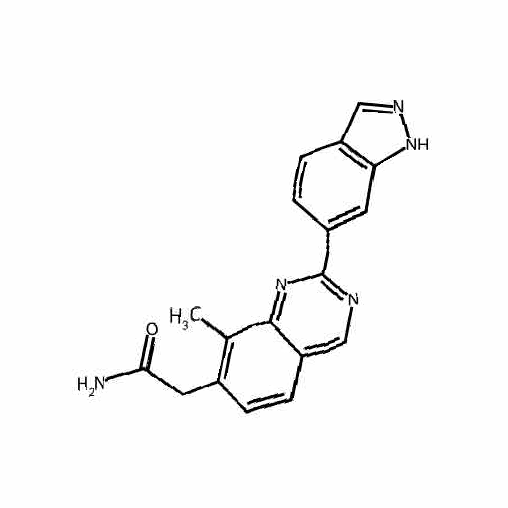 Cc1c(CC(N)=O)ccc2cnc(-c3ccc4cn[nH]c4c3)nc12